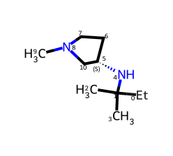 CCC(C)(C)N[C@H]1CCN(C)C1